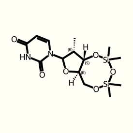 C[C@H]1C(n2ccc(=O)[nH]c2=O)O[C@@H]2CO[Si](C)(C)O[Si](C)(C)O[C@H]21